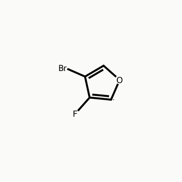 Fc1[c]occ1Br